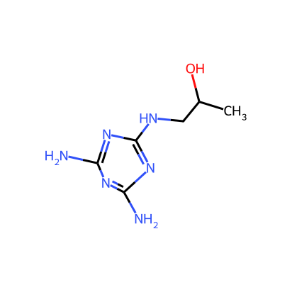 CC(O)CNc1nc(N)nc(N)n1